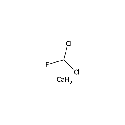 FC(Cl)Cl.[CaH2]